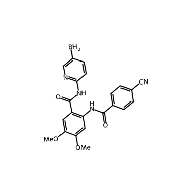 Bc1ccc(NC(=O)c2cc(OC)c(OC)cc2NC(=O)c2ccc(C#N)cc2)nc1